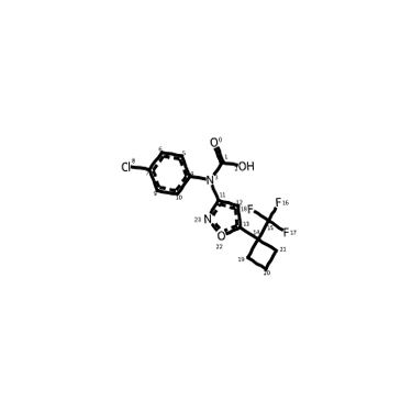 O=C(O)N(c1ccc(Cl)cc1)c1cc(C2(C(F)(F)F)CCC2)on1